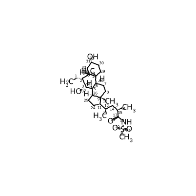 CC[C@H]1[C@@H](O)[C@@H]2[C@H](CC[C@]3(C)[C@@H]([C@H](C)C[C@@H](C)C(=O)NS(C)(=O)=O)CC[C@@H]23)[C@@]2(C)CC[C@@H](O)C[C@@H]12